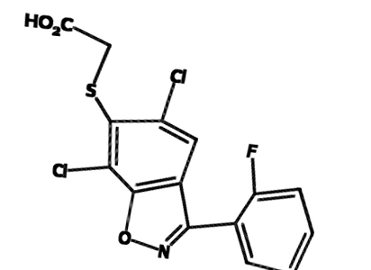 O=C(O)CSc1c(Cl)cc2c(-c3ccccc3F)noc2c1Cl